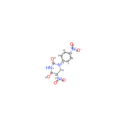 O=C1NC(=O)N(c2ccc([N+](=O)[O-])cc2)CC1[N+](=O)[O-]